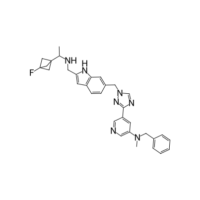 CC(NCc1cc2ccc(Cn3cnc(-c4cncc(N(C)Cc5ccccc5)c4)n3)cc2[nH]1)C12CC(F)(C1)C2